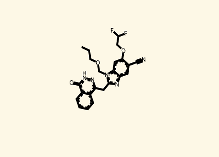 CCCOCn1c(Cc2n[nH]c(=O)c3ccccc23)nc2cc(C#N)c(OCC(F)F)cc21